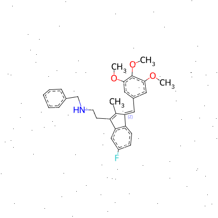 COc1cc(/C=C2\C(C)=C(CCNCc3ccccc3)c3cc(F)ccc32)cc(OC)c1OC